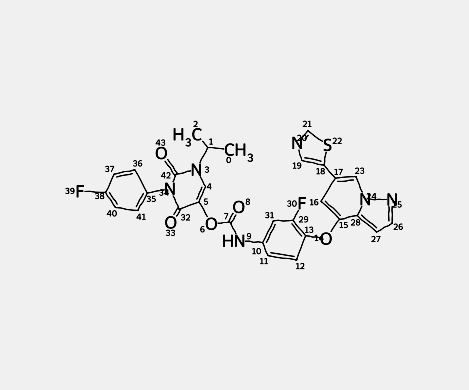 CC(C)n1cc(OC(=O)Nc2ccc(Oc3cc(-c4cncs4)cn4nccc34)c(F)c2)c(=O)n(-c2ccc(F)cc2)c1=O